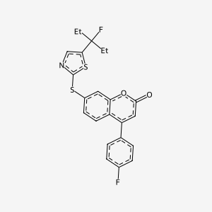 CCC(F)(CC)c1cnc(Sc2ccc3c(-c4ccc(F)cc4)cc(=O)oc3c2)s1